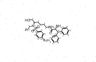 CC(C)CN(C(CO)CCCCNC(=O)C(N)C(c1ccccc1)c1ccccc1)S(=O)(=O)c1ccc([AsH2])cc1